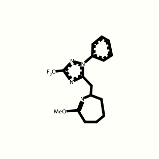 COC1=NC(Cc2nc(C(F)(F)F)nn2-c2ccccc2)CCCC1